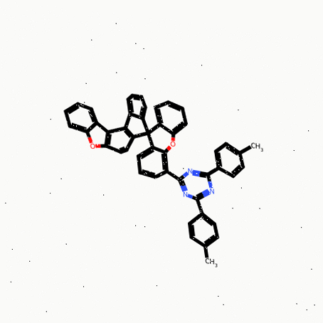 Cc1ccc(-c2nc(-c3ccc(C)cc3)nc(-c3cccc4c3Oc3ccccc3C43c4ccccc4-c4c3ccc3oc5ccccc5c43)n2)cc1